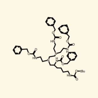 CC(C)(C)OC(=O)NCCCCC(CN(CCNC(=O)OCc1ccccc1)CCN(CCNC(=O)OCc1ccccc1)CCNC(=O)OCc1ccccc1)NC(=O)OCc1ccccc1